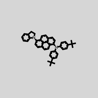 CC(C)(C)c1ccc(N(c2ccc(C(C)(C)C)cc2)c2ccc3ccc4c(N5CCc6ccccc65)ccc5ccc2c3c54)cc1